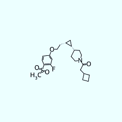 CS(=O)(=O)c1ccc(OCC[C@@H]2C[C@@H]2C2CCN(C(=O)CC3CCC3)CC2)cc1F